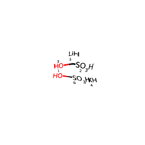 O=S(=O)(O)O.O=S(=O)(O)O.[KH].[LiH]